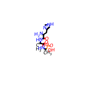 C[C@H](NC(=O)[C@@H](N)Cc1c[nH]cn1)C(=O)N[C@@H](C)P(=O)(O)O